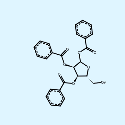 O=C(OC1O[C@H](CO)[C@@H](OC(=O)c2ccccc2)[C@H]1OC(=O)c1ccccc1)c1ccccc1